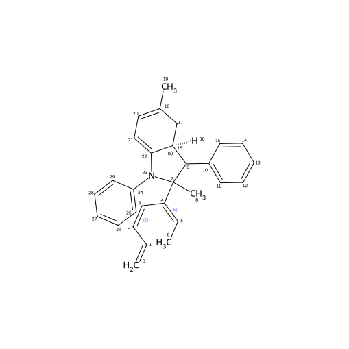 C=C/C=C\C(=C/C)C1(C)C(c2ccccc2)[C@@H]2CC(C)=CC=C2N1c1ccccc1